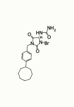 NC(=O)N[C@H]1C(=O)N(Cc2ccc(C3CCCCCCC3)cc2)C(=O)N1Br